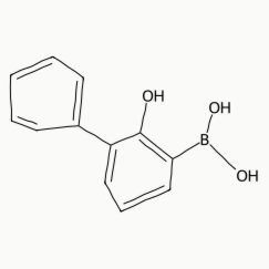 OB(O)c1cccc(-c2ccccc2)c1O